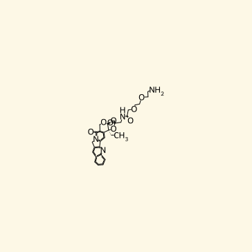 CC[C@@]1(OC(=O)CNC(=O)COCCOCCN)C(=O)OCc2c1cc1n(c2=O)Cc2cc3ccccc3nc2-1